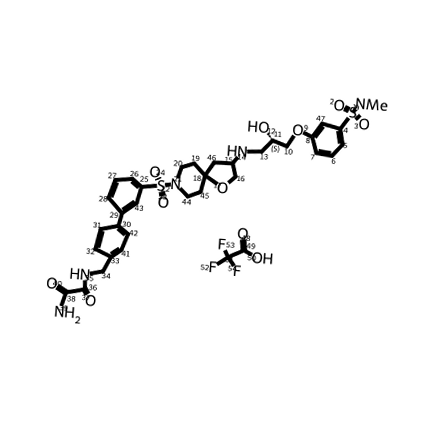 CNS(=O)(=O)c1cccc(OC[C@@H](O)CNC2COC3(CCN(S(=O)(=O)c4cccc(-c5ccc(CNC(=O)C(N)=O)cc5)c4)CC3)C2)c1.O=C(O)C(F)(F)F